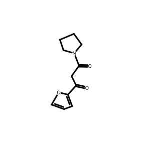 O=C(CC(=O)N1CCCC1)c1ccco1